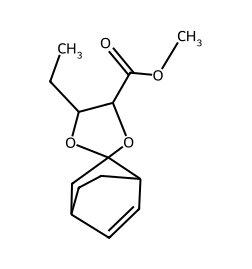 CCC1OC2(CC3C=CC2CC3)OC1C(=O)OC